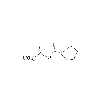 CCOC(=O)C(C)OC(=O)C1CCCC1